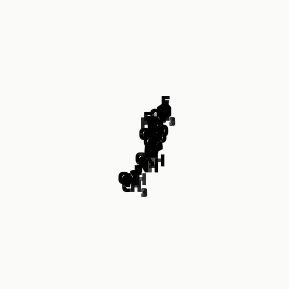 CC(=O)NCCCNC(=O)Nc1ccc2c(c1)CC[C@@]21OC(=O)N(CC(=O)N(Cc2ccc(F)cc2)[C@@H](C)C(F)(F)F)C1=O